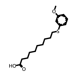 COc1cccc(SCCCCCCCCCC(=O)O)c1